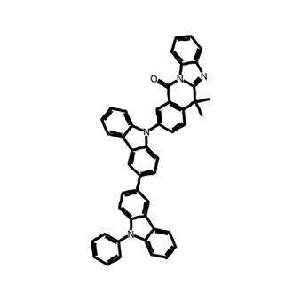 CC1(C)c2ccc(-n3c4ccccc4c4cc(-c5ccc6c(c5)c5ccccc5n6-c5ccccc5)ccc43)cc2C(=O)n2c1nc1ccccc12